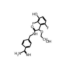 CCOC(C(=O)NCc1ccc(C(=N)N)cc1)c1c(F)ccc(O)c1F.Cl